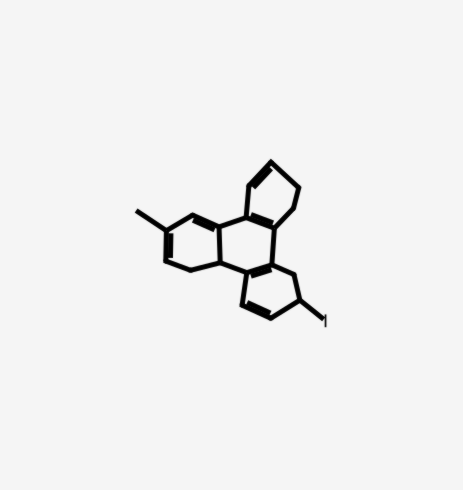 CC1=CCC2C(=C1)C1=C(CCC=C1)C1=C2C=CC(I)C1